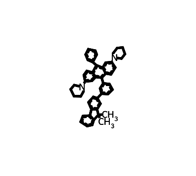 CC1(C)c2ccccc2-c2ccc(-c3cccc(-c4c5ccc(N6CCCCC6)cc5c(-c5ccccc5)c5ccc(N6CCCCC6)cc45)c3)cc21